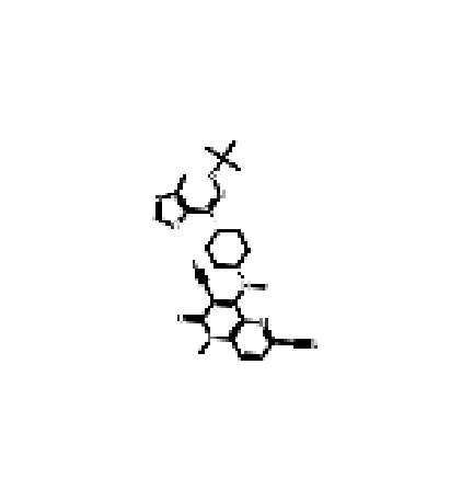 Cc1ncoc1/C(=N\OC(C)(C)C)[C@H]1CC[C@@H](N(C)c2c(C#N)c(=O)n(C)c3ccc(C#N)nc23)CC1